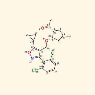 CC(=O)[C@@H]1C[C@H](C)C[C@@H]1OCc1c(-c2c(Cl)cccc2Cl)noc1C1CC1